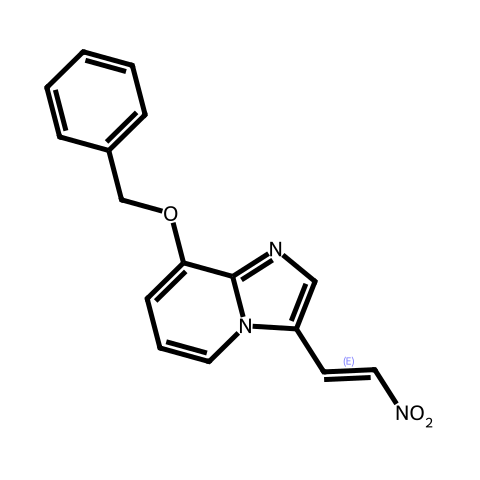 O=[N+]([O-])/C=C/c1cnc2c(OCc3ccccc3)cccn12